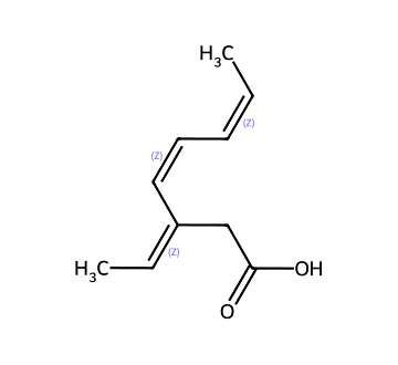 C\C=C/C=C\C(=C/C)CC(=O)O